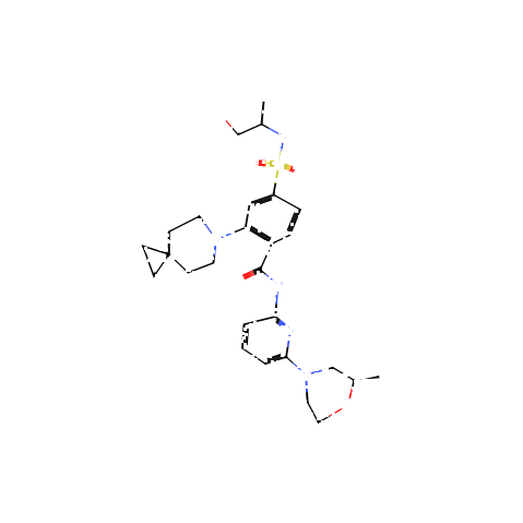 CC(CO)NS(=O)(=O)c1ccc(C(=O)Nc2cccc(N3CCO[C@H](C)C3)n2)c(N2CCC3(CC2)CC3)c1